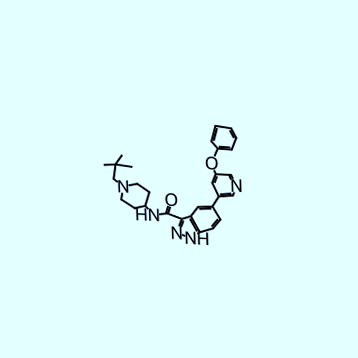 CC(C)(C)CN1CCC(NC(=O)c2n[nH]c3ccc(-c4cncc(Oc5ccccc5)c4)cc23)CC1